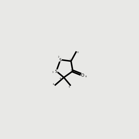 CC1SSC(C)(C)C1=O